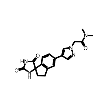 CN(C)C(=O)Cn1cc(-c2ccc3c(c2)CCC32NC(=O)NC2=O)cn1